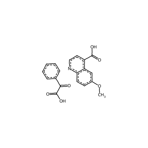 COc1ccc2nccc(C(=O)O)c2c1.O=C(O)C(=O)c1ccccc1